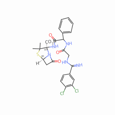 CC1(C)S[C@@H]2CC(=O)N2[C@@]1(NC(=O)C(NC(=O)CNC(=N)c1ccc(Cl)c(Cl)c1)c1ccccc1)C(=O)O